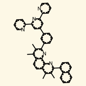 Cc1c(-c2cccc(-c3cc(-c4ccccn4)nc(-c4ccccn4)c3)c2)nc2c(ccc3c(C)c(C)c(-c4cccc5ccccc45)nc32)c1C